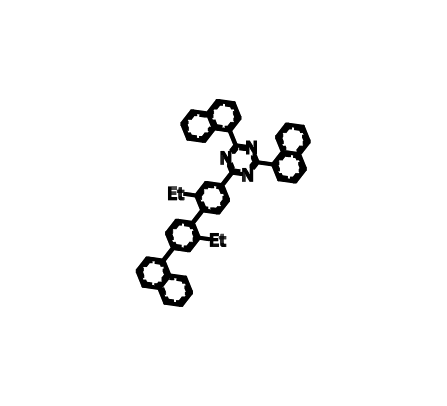 CCc1cc(-c2nc(-c3cccc4ccccc34)nc(-c3cccc4ccccc34)n2)ccc1-c1ccc(-c2cccc3ccccc23)cc1CC